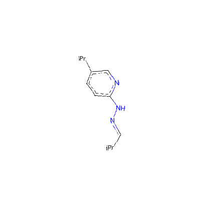 CC(C)/C=N/Nc1ccc(C(C)C)cn1